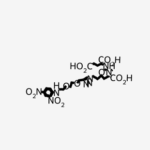 CN(C(=O)N[C@@H](CCC(=O)O)C(=O)O)[C@@H](CCCCn1cc(COCCOCCNc2ccc([N+](=O)[O-])cc2[N+](=O)[O-])nn1)C(=O)O